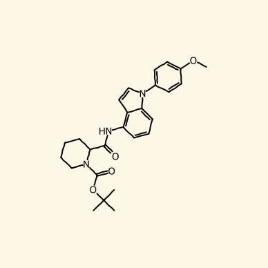 COc1ccc(-n2ccc3c(NC(=O)C4CCCCN4C(=O)OC(C)(C)C)cccc32)cc1